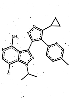 Cc1ccc(-c2c(-c3nn(C(C)C)c4c(Cl)cnc(N)c34)noc2C2CC2)nc1